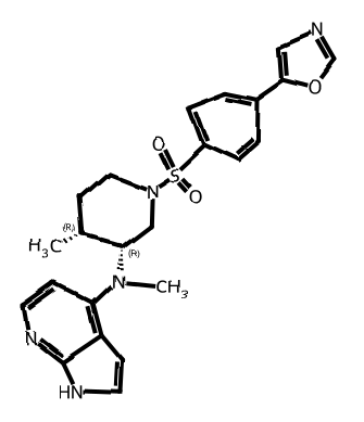 C[C@@H]1CCN(S(=O)(=O)c2ccc(-c3cnco3)cc2)C[C@@H]1N(C)c1ccnc2[nH]ccc12